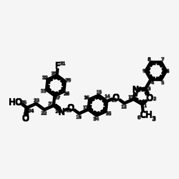 Cc1oc(-c2ccccc2)nc1COc1ccc(CO/N=C(/CCC(=O)O)c2ccc(F)cc2)cc1